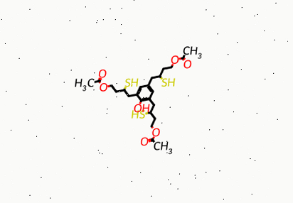 CC(=O)OCCC(S)Cc1cc(CC(S)CCOC(C)=O)c(O)c(CC(S)CCOC(C)=O)c1